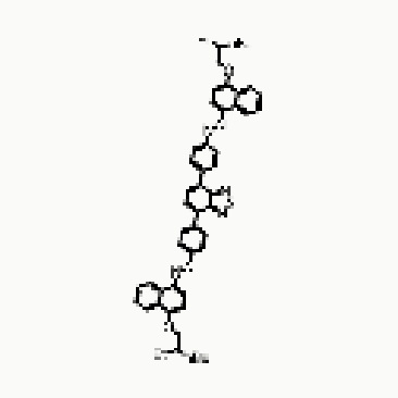 CCCCC(CC)COc1ccc(N=Nc2ccc(-c3ccc(-c4ccc(N=Nc5ccc(OCC(CC)CCCC)c6ccccc56)cc4)c4nsnc34)cc2)c2ccccc12